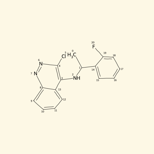 CC(Nc1c(Cl)nnc2ccccc12)c1ccccc1F